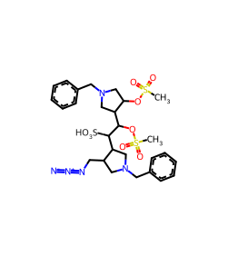 CS(=O)(=O)OC1CN(Cc2ccccc2)CC1C(OS(C)(=O)=O)C(C1CN(Cc2ccccc2)CC1CN=[N+]=[N-])S(=O)(=O)O